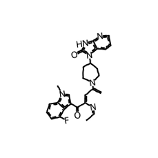 C=C(/C=C(\N=C/C)C(=O)c1cn(C)c2cccc(F)c12)N1CCC(n2c(=O)[nH]c3ncccc32)CC1